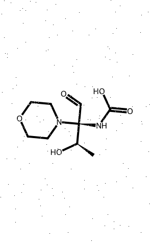 C[C@@H](O)[C@](C=O)(NC(=O)O)N1CCOCC1